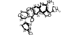 C[C@H]1OCc2c1c(N)nc1cnc(C(=O)N3[C@@H](C)COC[C@H]3c3ccc(Cl)nc3)cc21